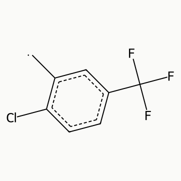 [CH2]c1cc(C(F)(F)F)ccc1Cl